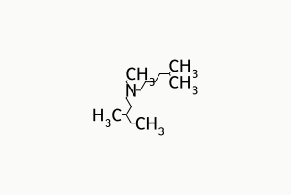 CCC(C)CCN(CC)CCCCC(C)C